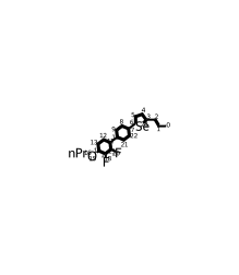 CC=Cc1ccc(-c2ccc(-c3ccc(OCCC)c(F)c3F)cc2)[se]1